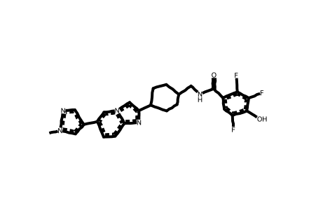 Cn1cc(-c2ccc3nc(C4CCC(CNC(=O)c5cc(F)c(O)c(F)c5F)CC4)cn3c2)cn1